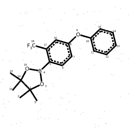 CC1(C)OB(c2ccc(Oc3ccccc3)cc2C(F)(F)F)OC1(C)C